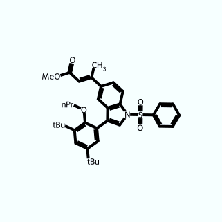 CCCOc1c(-c2cn(S(=O)(=O)c3ccccc3)c3ccc(C(C)=CC(=O)OC)cc23)cc(C(C)(C)C)cc1C(C)(C)C